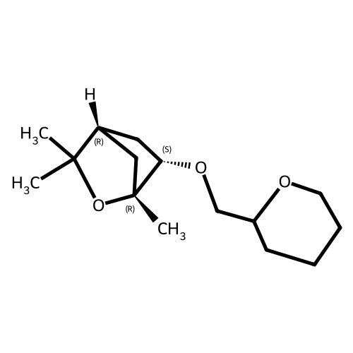 CC1(C)O[C@]2(C)C[C@H]1C[C@@H]2OCC1CCCCO1